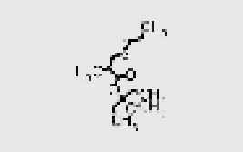 CC[CH]SCC(C)C(=O)OC(CC)(CC)OC